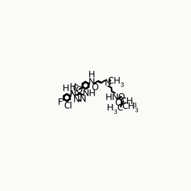 COc1ccc(NC(=O)/C=C/CN(C)CCCCNC(=O)OC(C)(C)C)cc1Nc1cc(Nc2ccc(F)c(Cl)c2)ncn1